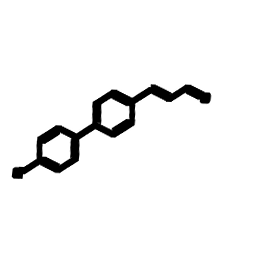 O=CC=Cc1ccc(-c2ccc(Cl)cc2)cc1